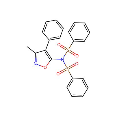 Cc1noc(N(S(=O)(=O)c2ccccc2)S(=O)(=O)c2ccccc2)c1-c1ccccc1